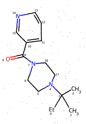 CCC(C)(C)N1CCN(C(=O)c2cccnc2)CC1